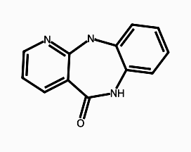 O=C1Nc2ccccc2[N]c2ncccc21